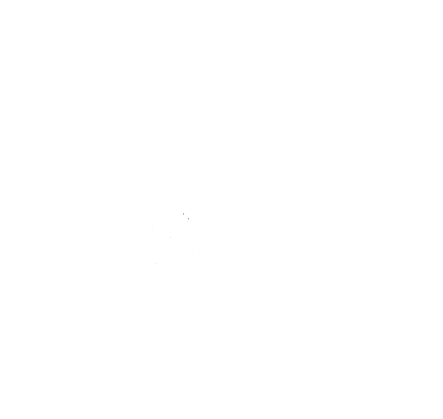 Cc1ccc(-c2ccccc2NS(C)(=O)=O)cc1